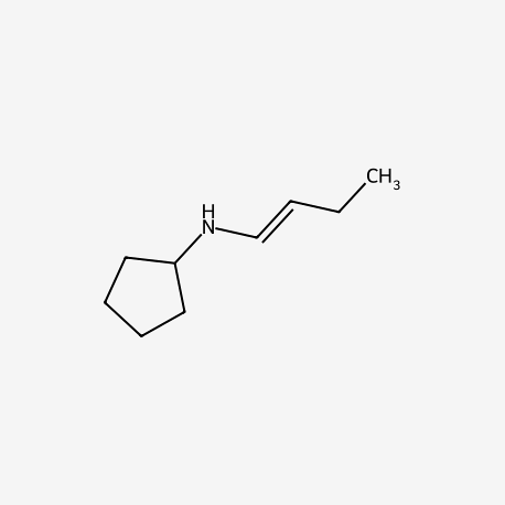 CCC=CNC1CCCC1